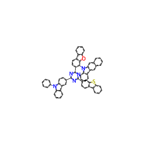 c1ccc(-n2c3ccccc3c3cc(-c4nc(-c5ccc6c(c5)sc5ccccc56)nc(-c5ccc6c(oc7ccccc76)c5-n5c6ccccc6c6cc7ccccc7cc65)n4)ccc32)cc1